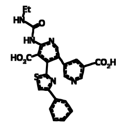 CCNC(=O)Nc1ncc(-c2cncc(C(=O)O)c2)c(-c2nc(-c3ccccc3)cs2)c1C(=O)O